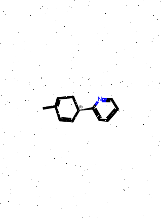 CC1=CC[C@@H](c2ccccn2)C=C1